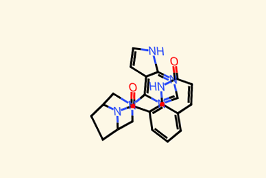 O=C(c1cccc2ccc(=O)[nH]c12)N1C2CCC1CN(c1ncnc3[nH]ccc13)C2